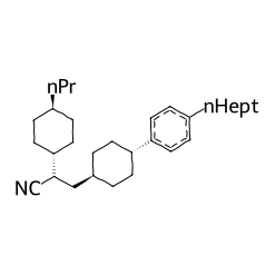 CCCCCCCc1ccc([C@H]2CC[C@H](CC(C#N)[C@H]3CC[C@H](CCC)CC3)CC2)cc1